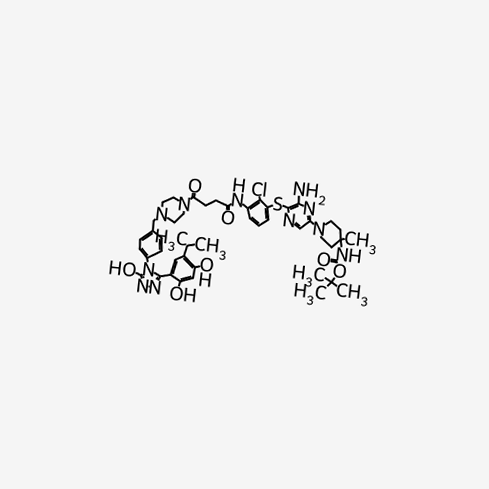 CC(C)c1cc(-c2nnc(O)n2-c2ccc(CN3CCN(C(=O)CCC(=O)Nc4cccc(Sc5ncc(N6CCC(C)(NC(=O)OC(C)(C)C)CC6)nc5N)c4Cl)CC3)cc2)c(O)cc1O